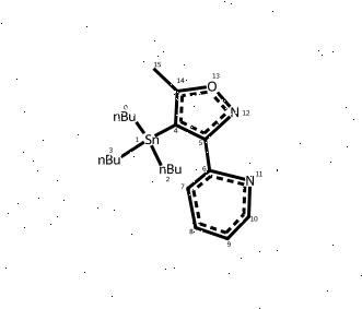 CCC[CH2][Sn]([CH2]CCC)([CH2]CCC)[c]1c(-c2ccccn2)noc1C